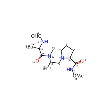 CONC(=O)[C@@H]1CCCN1CC(C(C)C)N(C)C(=O)C(NC=O)C(C)(C)C